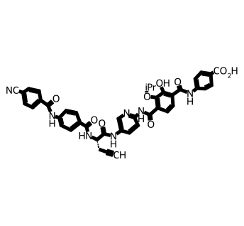 C#CC[C@H](NC(=O)c1ccc(NC(=O)c2ccc(C#N)cc2)cc1)C(=O)Nc1ccc(NC(=O)c2ccc(C(=O)Nc3ccc(C(=O)O)cc3)c(O)c2OC(C)C)nc1